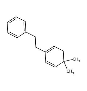 CC1(C)C=CC(CCc2ccccc2)=CC1